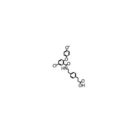 COc1ccc(Oc2ccc(Cl)cc2C(=O)NCCc2ccc(CCC(=O)O)cc2)cc1